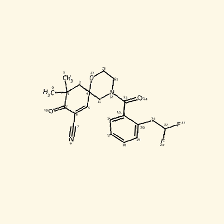 CC1(C)CC2(C=C(C#N)C1=O)CN(C(=O)c1ccccc1CC(F)F)CCO2